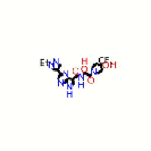 CCn1cc(-c2cnc3[nH]cc(C(=O)N[C@H](O)C(=O)N4CCC(O)(C(F)(F)F)CC4)c3n2)cn1